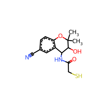 CC1(C)Oc2ccc(C#N)cc2C(NC(=O)CS)C1O